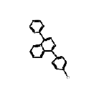 Clc1ccc(-c2ccc(-c3ccccc3)c3ccccc23)cc1